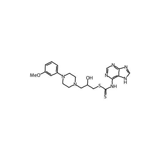 COc1cccc(N2CCN(CC(O)CSC(=S)Nc3ncnc4nc[nH]c34)CC2)c1